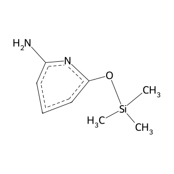 C[Si](C)(C)Oc1cccc(N)n1